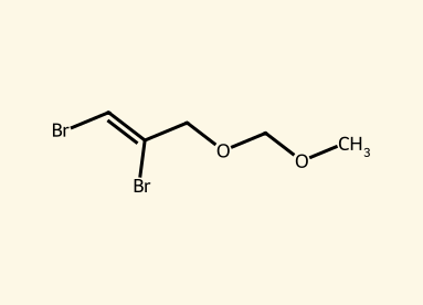 COCOCC(Br)=CBr